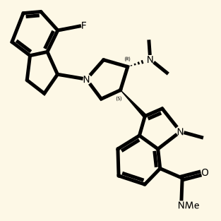 CNC(=O)c1cccc2c([C@H]3CN(C4CCc5cccc(F)c54)C[C@@H]3N(C)C)cn(C)c12